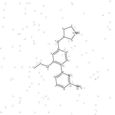 CCOc1cc(OC2CCNC2)ccc1-c1cccc(N)n1